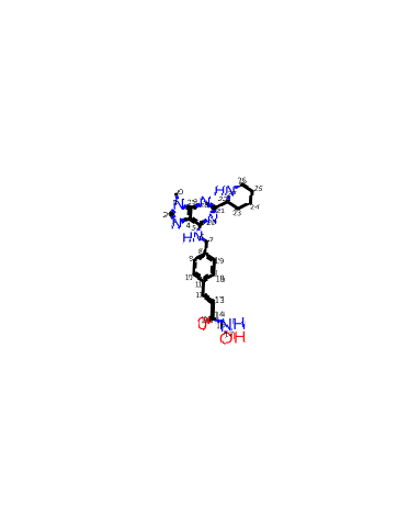 Cn1cnc2c(NCc3ccc(/C=C/C(=O)NO)cc3)nc(C3CCCCN3)nc21